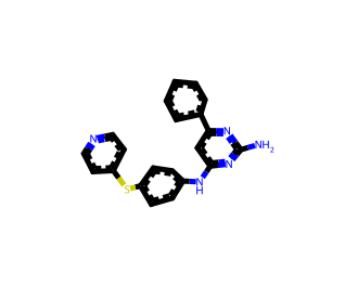 Nc1nc(Nc2ccc(Sc3ccncc3)cc2)cc(-c2ccccc2)n1